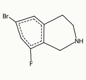 Fc1cc(Br)cc2c1CNCC2